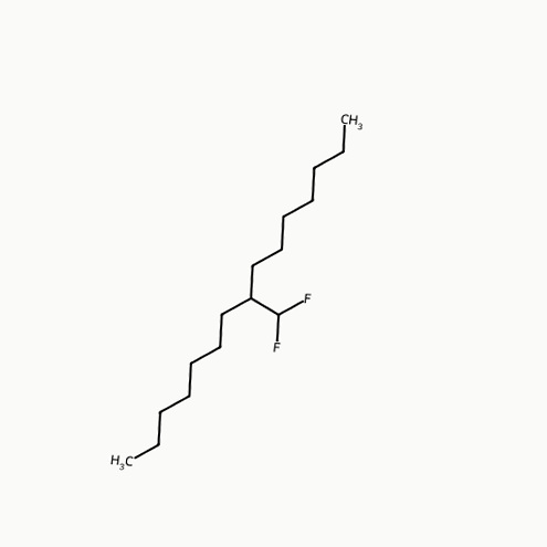 CCCCCCCC(CCCCCCC)C(F)F